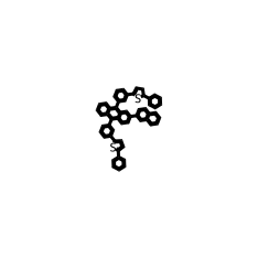 C1=C(c2cccc(-c3c4ccccc4c(-c4cccc(-c5ccc(-c6ccccc6)s5)c4)c4ccc(-c5ccc6ccccc6c5)cc34)c2)SC(c2ccccc2)C1